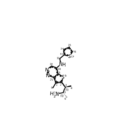 Cc1c([C@@H](C)[C@H](C)N)sc2c(NCc3cccs3)cnnc12